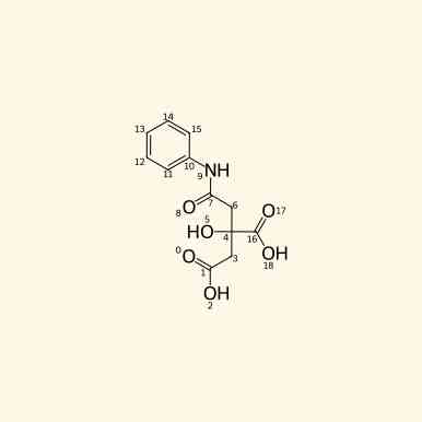 O=C(O)CC(O)(CC(=O)Nc1ccccc1)C(=O)O